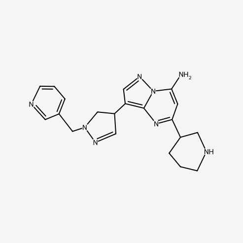 Nc1cc(C2CCCNC2)nc2c(C3C=NN(Cc4cccnc4)C3)cnn12